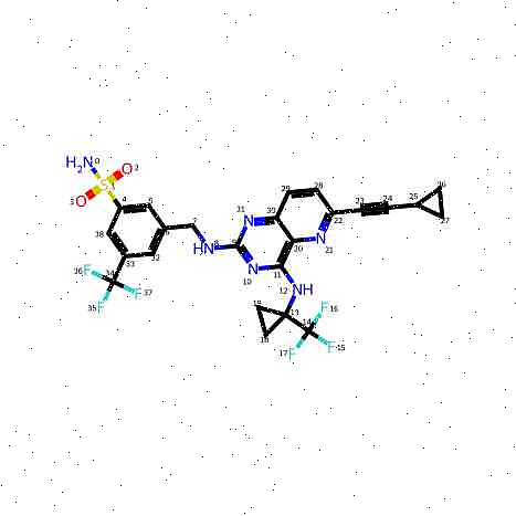 NS(=O)(=O)c1cc(CNc2nc(NC3(C(F)(F)F)CC3)c3nc(C#CC4CC4)ccc3n2)cc(C(F)(F)F)c1